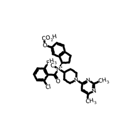 Cc1cc(N2CCC([N+](C)(C(=O)c3c(F)cccc3Cl)[C@@H]3CCc4ccc(OC(=O)O)cc43)CC2)nc(C)n1